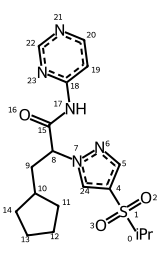 CC(C)S(=O)(=O)c1cnn(C(CC2CCCC2)C(=O)Nc2ccncn2)c1